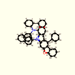 c1ccc(-c2ccccc2N(c2ccccc2)c2cccc3c4c(-c5ccccc5)c5c(cc4n(-c4ccc6ccccc6c4)c23)oc2ccccc25)cc1